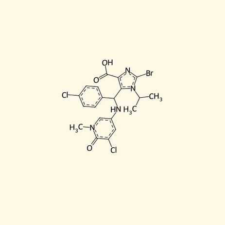 CC(C)n1c(Br)nc(C(=O)O)c1C(Nc1cc(Cl)c(=O)n(C)c1)c1ccc(Cl)cc1